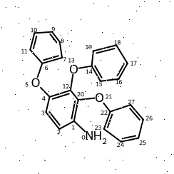 Nc1ccc(Oc2ccccc2)c(Oc2ccccc2)c1Oc1ccccc1